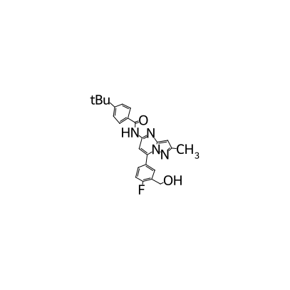 Cc1cc2nc(NC(=O)c3ccc(C(C)(C)C)cc3)cc(-c3ccc(F)c(CO)c3)n2n1